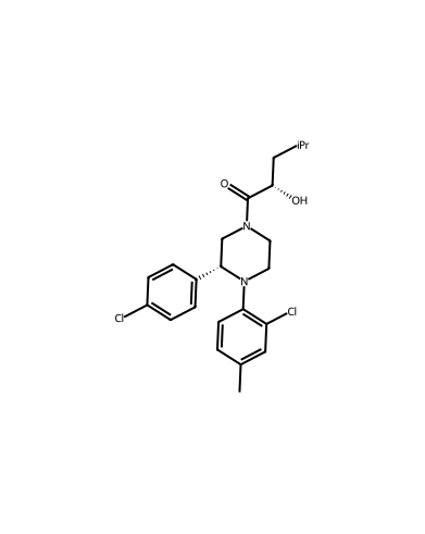 Cc1ccc(N2CCN(C(=O)[C@@H](O)CC(C)C)C[C@H]2c2ccc(Cl)cc2)c(Cl)c1